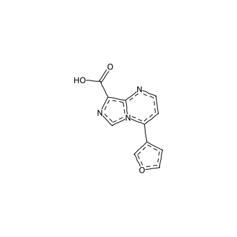 O=C(O)c1ncn2c(-c3ccoc3)ccnc12